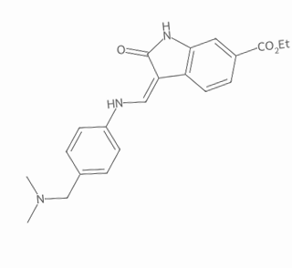 CCOC(=O)c1ccc2c(c1)NC(=O)C2=CNc1ccc(CN(C)C)cc1